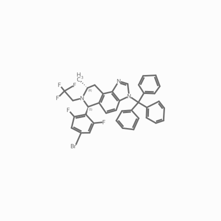 C[C@@H]1Cc2c(ccc3c2ncn3C(c2ccccc2)(c2ccccc2)c2ccccc2)[C@@H](c2c(F)cc(Br)cc2F)N1CC(F)(F)F